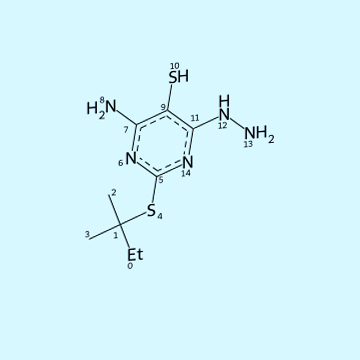 CCC(C)(C)Sc1nc(N)c(S)c(NN)n1